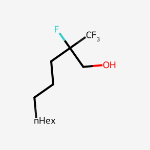 CCCCCCCCCC(F)(CO)C(F)(F)F